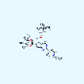 CC1(C)OB(c2cc3nc(C4CCN(C(=O)O)CC4)ncc3n2COCC[Si](C)(C)C)OC1(C)C